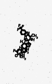 CC(NC(=O)[C@H]1CC[C@H]2[C@@H]3CC[C@H]4N(C)C(=O)C(F)=C[C@]4(C)[C@H]3CC[C@]12C)c1nc2cc(C(F)(F)F)ccc2[nH]1